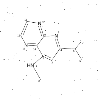 CNc1cc(C(C)C)nc2nccnc12